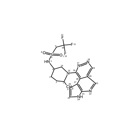 CC1CCC(NS(=O)(=O)CC(F)(F)F)CN1c1nncc2cnc3[nH]ccc3c12